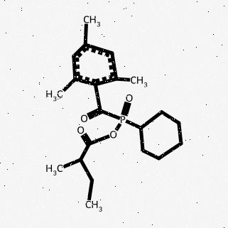 CCC(C)C(=O)OP(=O)(C(=O)c1c(C)cc(C)cc1C)C1CCCCC1